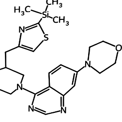 C[Si](C)(C)c1nc(CC2CCCN(c3ncnc4cc(N5CCOCC5)ccc34)C2)cs1